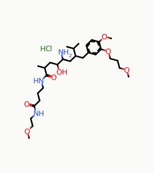 COCCCOc1cc(CC(CC(N)C(O)CC(C)C(=O)NCCCC(=O)NCCOC)C(C)C)ccc1OC.Cl